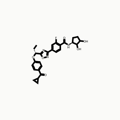 CC[C@@H](Oc1ccc(C(=O)C2CC2)cc1)c1nc(-c2ccc(C(=O)N[C@H]3CCC(O)C3O)c(F)c2)no1